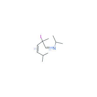 CC(C)/C=C\C(C)(I)/C=N\C(C)C